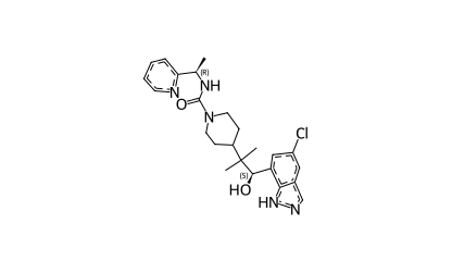 C[C@@H](NC(=O)N1CCC(C(C)(C)[C@H](O)c2cc(Cl)cc3cn[nH]c23)CC1)c1ccccn1